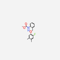 COC(=O)Nc1ccccc1COc1cc(C)c(C)cc1F